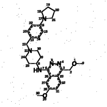 COCc1nnc(NC2CCN(Cc3ccc(N4CCCC4)cc3)CC2)c2cc(OC)ccc12